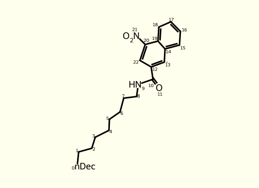 CCCCCCCCCCCCCCCCCCNC(=O)c1[c]c2ccccc2c([N+](=O)[O-])c1